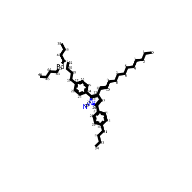 CCCCCCCCCCC=CC1=C(c2ccc(CCCC)cc2)[N+](=[N-])C(c2ccc(CCCC)cc2)=C1.CCC[CH2][Pd][CH2]CCC